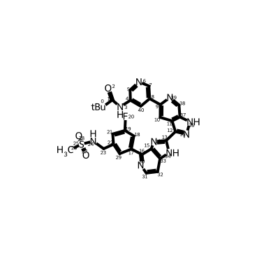 CC(C)(C)C(=O)Nc1cncc(-c2cc3c(-c4nc5c(-c6cc(F)cc(CNS(C)(=O)=O)c6)nccc5[nH]4)n[nH]c3cn2)c1